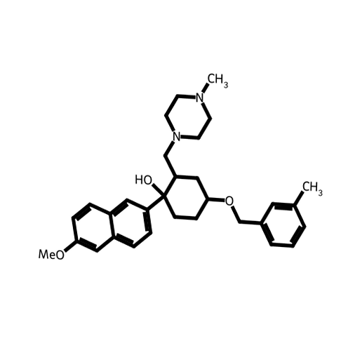 COc1ccc2cc(C3(O)CCC(OCc4cccc(C)c4)CC3CN3CCN(C)CC3)ccc2c1